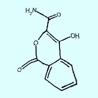 NC(=O)c1oc(=O)c2ccccc2c1O